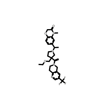 C=C(N1CCc2ncc(C(F)(F)F)cc2C1)C1(COCC)CCN(C(C)c2ccc3c(c2)N(C)C(=O)CO3)C1